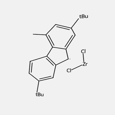 Cc1cc(C(C)(C)C)cc2c1-c1ccc(C(C)(C)C)cc1[CH]2.[Cl][Zr][Cl]